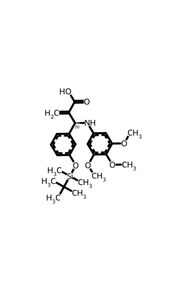 C=C(C(=O)O)[C@@H](Nc1cc(OC)c(OC)c(OC)c1)c1cccc(O[Si](C)(C)C(C)(C)C)c1